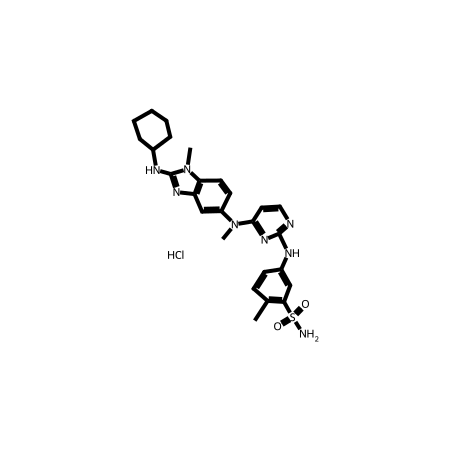 Cc1ccc(Nc2nccc(N(C)c3ccc4c(c3)nc(NC3CCCCC3)n4C)n2)cc1S(N)(=O)=O.Cl